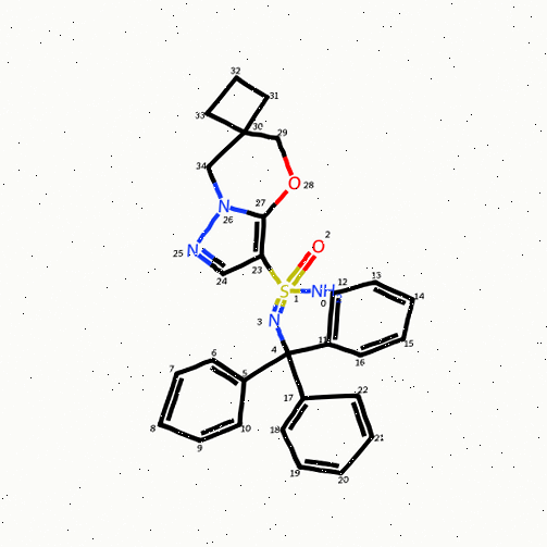 NS(=O)(=NC(c1ccccc1)(c1ccccc1)c1ccccc1)c1cnn2c1OCC1(CCC1)C2